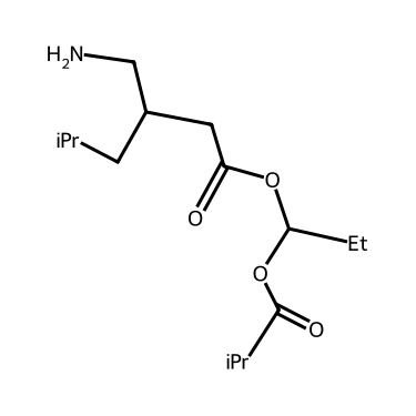 CCC(OC(=O)CC(CN)CC(C)C)OC(=O)C(C)C